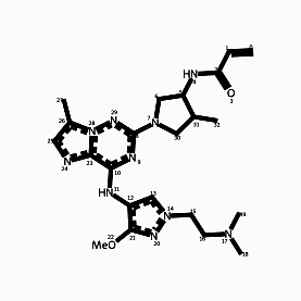 C=CC(=O)NC1CN(c2nc(Nc3cn(CCN(C)C)nc3OC)c3ncc(C)n3n2)CC1C